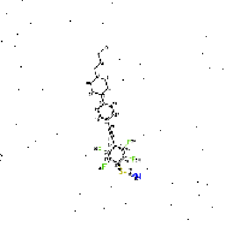 CCCCC1CCC(c2ccc(C#Cc3c(F)c(F)c(SC#N)c(F)c3F)cc2)CC1